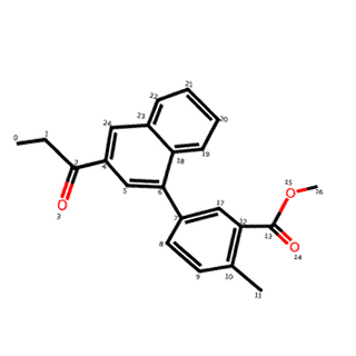 CCC(=O)c1cc(-c2ccc(C)c(C(=O)OC)c2)c2ccccc2c1